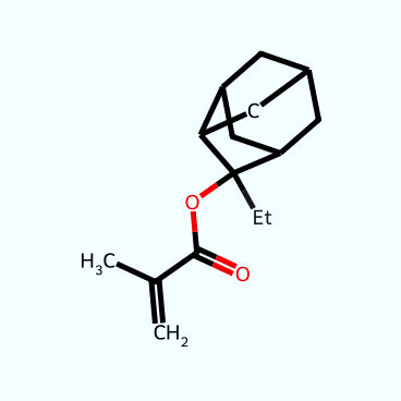 C=C(C)C(=O)OC1(CC)C2CC3CC(C2)C1C3